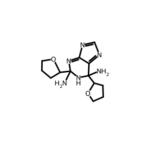 NC1(C2CCCO2)N=C2N=CN=C2C(N)(C2CCCO2)N1